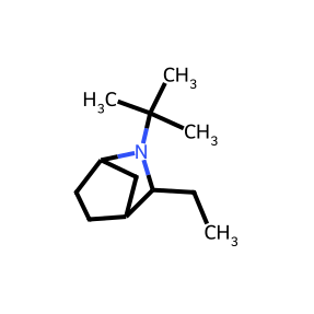 CCC1C2CCC(C2)N1C(C)(C)C